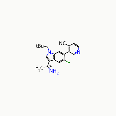 CC(C)(C)Cn1cc([C@H](N)C(F)(F)F)c2cc(F)c(-c3cnccc3C#N)cc21